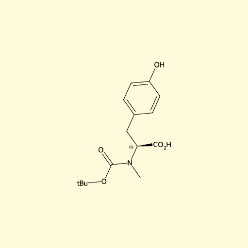 CN(C(=O)OC(C)(C)C)[C@@H](Cc1ccc(O)cc1)C(=O)O